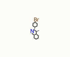 Cc1c(-c2ccc(Br)cc2)ncc2ccccc12